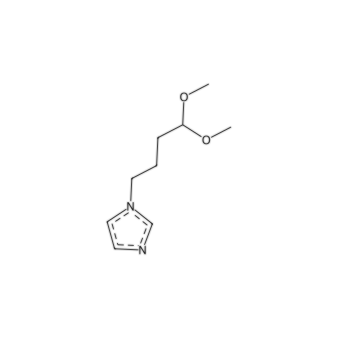 COC(CCCn1ccnc1)OC